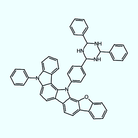 c1ccc(C2NC(c3ccccc3)NC(c3ccc(-n4c5c(ccc6c7ccccc7oc65)c5ccc6c(c7ccccc7n6-c6ccccc6)c54)cc3)N2)cc1